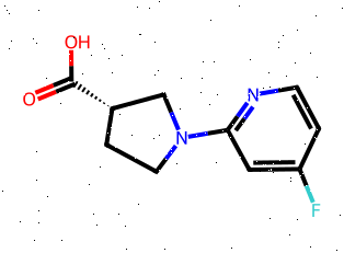 O=C(O)[C@H]1CCN(c2cc(F)ccn2)C1